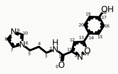 O=C(NCCCn1ccnc1)c1cc(-c2ccc(O)cc2)on1